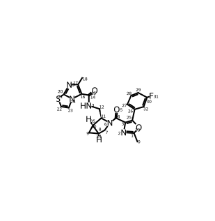 Cc1nc(C(=O)N2C[C@@H]3C[C@@H]3[C@H]2CNC(=O)c2c(C)nc3sccn23)c(-c2cccc(F)c2)o1